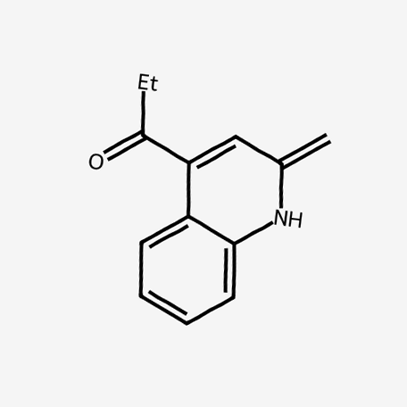 C=C1C=C(C(=O)CC)c2ccccc2N1